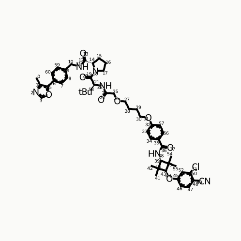 Cc1ncoc1-c1ccc(CNC(=O)[C@@H]2CCCN2C(=O)[C@@H](NC(=O)COCCCCOc2ccc(C(=O)N[C@H]3C(C)(C)[C@H](Oc4ccc(C#N)c(Cl)c4)C3(C)C)cc2)C(C)(C)C)cc1